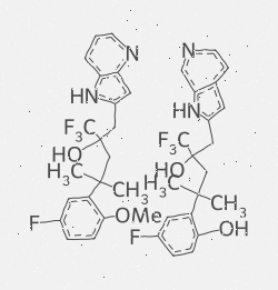 CC(C)(CC(O)(Cc1cc2ccncc2[nH]1)C(F)(F)F)c1cc(F)ccc1O.COc1ccc(F)cc1C(C)(C)CC(O)(Cc1cc2ncccc2[nH]1)C(F)(F)F